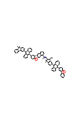 C=CC1=C(/C=C(\C)c2cccc3cc4c(cc23)oc2ccc(-c3c5ccccc5c(-c5ccc6c(c5)-c5ccccc5C6(C)C)c5ccccc35)cc24)C(C)(C)c2ccc(-c3c4ccccc4c(-c4ccc5oc6ccccc6c5c4)c4ccccc34)cc21